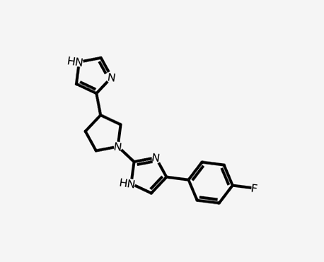 Fc1ccc(-c2c[nH]c(N3CCC(c4c[nH]cn4)C3)n2)cc1